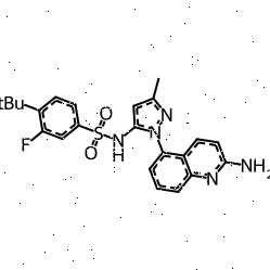 Cc1cc(NS(=O)(=O)c2ccc(C(C)(C)C)c(F)c2)n(-c2cccc3nc(N)ccc23)n1